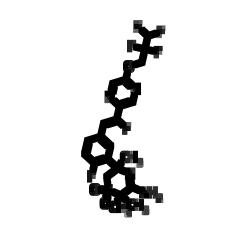 CC1(c2cc(C=C(F)c3cnc(OCC(F)(F)C(F)F)cn3)ccc2F)CS(=O)(=O)C(C)(C)C(N)=N1